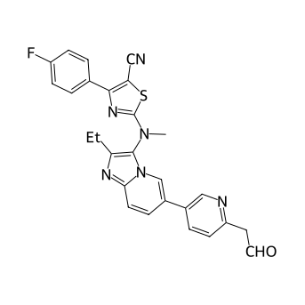 CCc1nc2ccc(-c3ccc(CC=O)nc3)cn2c1N(C)c1nc(-c2ccc(F)cc2)c(C#N)s1